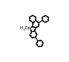 Cn1c2ccc(-c3ccccc3)cc2c2cc(-c3ccccc3)c3ccccc3c21